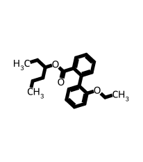 CCCC(CC)OC(=O)c1ccccc1-c1ccccc1OCC